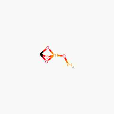 PO[PH]12OC(O1)O2